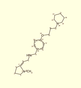 CN1CCC/C1=C/CNCc1ccc(OCCCN2CCCCC2)cc1